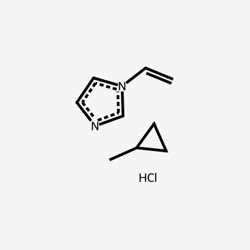 C=Cn1ccnc1.CC1CC1.Cl